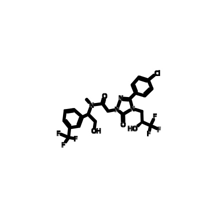 CN(C(=O)Cn1nc(-c2ccc(Cl)cc2)n(C[C@H](O)C(F)(F)F)c1=O)C(CO)c1cccc(C(F)(F)F)c1